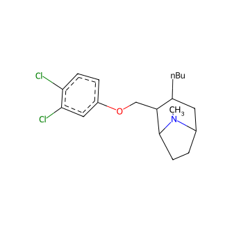 CCCCC1CC2CCC(C1COc1ccc(Cl)c(Cl)c1)N2C